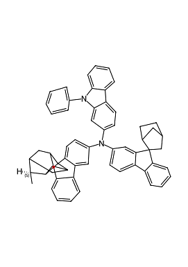 C[C@H]1C2CC3CC(C2)C2(c4ccccc4-c4cc(N(c5ccc6c(c5)C5(CC7CCC5C7)c5ccccc5-6)c5ccc6c7ccccc7n(-c7ccccc7)c6c5)ccc42)C1C3